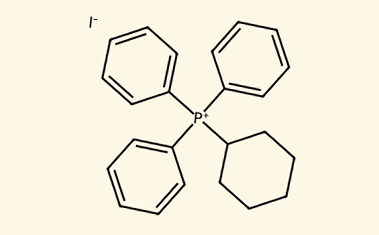 [I-].c1ccc([P+](c2ccccc2)(c2ccccc2)C2CCCCC2)cc1